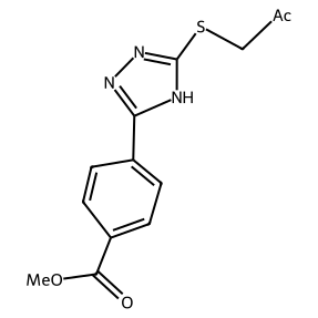 COC(=O)c1ccc(-c2nnc(SCC(C)=O)[nH]2)cc1